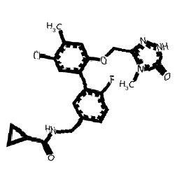 Cc1cc(OCc2n[nH]c(=O)n2C)c(-c2cc(CNC(=O)C3CC3)ccc2F)cc1Cl